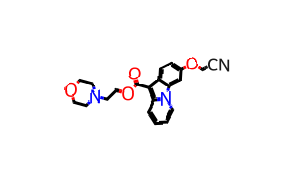 N#CCOc1ccc2c(C(=O)OCCN3CCOCC3)c3ccccn3c2c1